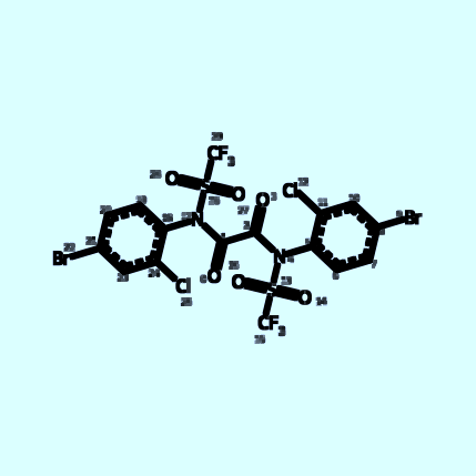 O=C(C(=O)N(c1ccc(Br)cc1Cl)S(=O)(=O)C(F)(F)F)N(c1ccc(Br)cc1Cl)S(=O)(=O)C(F)(F)F